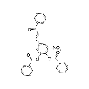 O=C(C=Cc1cc(OC(=O)c2ccccc2)c(OC(=O)c2ccccc2)c([N+](=O)[O-])c1)c1ccccc1